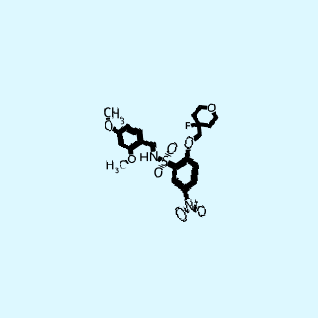 COc1ccc(CNS(=O)(=O)c2cc([N+](=O)[O-])ccc2OCC2(F)CCOCC2)c(OC)c1